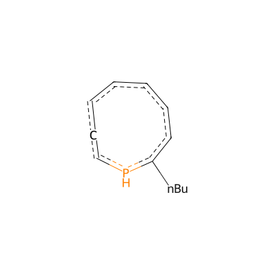 CCCCc1ccccccc[pH]1